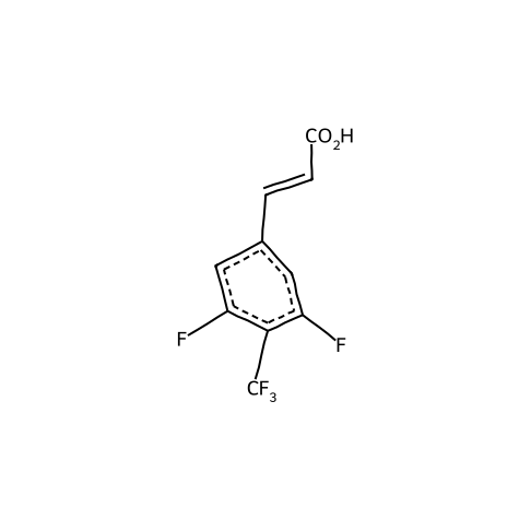 O=C(O)C=Cc1cc(F)c(C(F)(F)F)c(F)c1